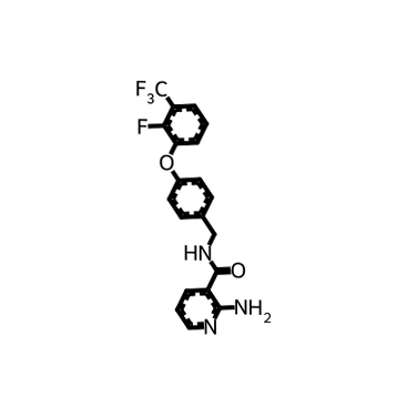 Nc1ncccc1C(=O)NCc1ccc(Oc2cccc(C(F)(F)F)c2F)cc1